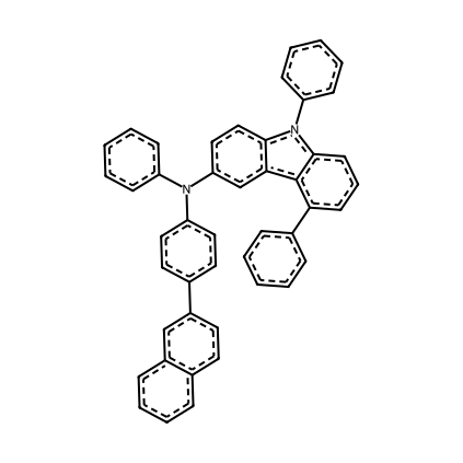 c1ccc(-c2cccc3c2c2cc(N(c4ccccc4)c4ccc(-c5ccc6ccccc6c5)cc4)ccc2n3-c2ccccc2)cc1